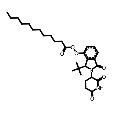 CCCCCCCCCCCC(=O)OOc1cccc2c1C(C(C)(C)C)N(C1CCC(=O)NC1=O)C2=O